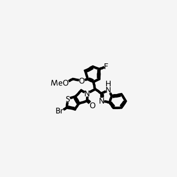 COCOc1ccc(F)cc1C(c1nc2ccccc2[nH]1)N1Cc2sc(Br)cc2C1=O